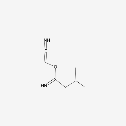 CC(C)CC(=N)OC=C=N